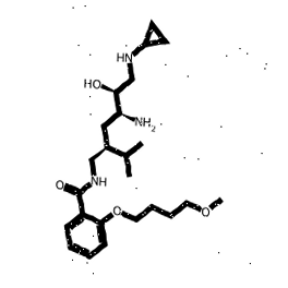 COCCCCOc1ccccc1C(=O)NC[C@@H](C[C@H](N)[C@@H](O)CNC1CC1)C(C)C